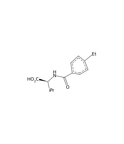 CCc1ccc(C(=O)N[C@H](C(=O)O)C(C)C)cc1